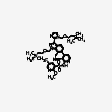 COc1ncc(F)cc1S(=O)(=O)Nc1nccc(-c2ccc3c(-c4nccn4COCC[Si](C)(C)C)nn(COCC[Si](C)(C)C)c3c2F)c1C#N